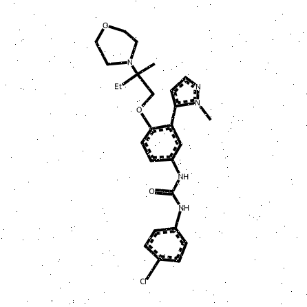 CCC(C)(COc1ccc(NC(=O)Nc2ccc(Cl)cc2)cc1-c1ccnn1C)N1CCOCC1